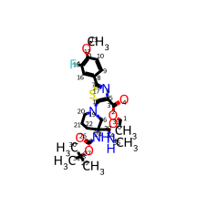 CCOC(=O)c1nc(-c2ccc(OC)c(F)c2)sc1N1CCCC(NC(=O)OC(C)(C)C)(C(=O)NC)C1